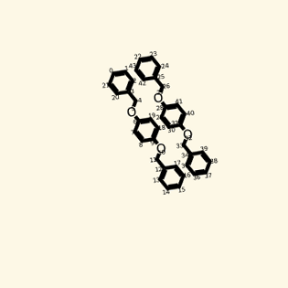 c1ccc(COc2ccc(OCc3ccccc3)cc2)cc1.c1ccc(COc2ccc(OCc3ccccc3)cc2)cc1